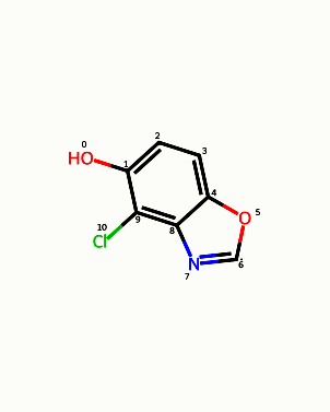 Oc1ccc2o[c]nc2c1Cl